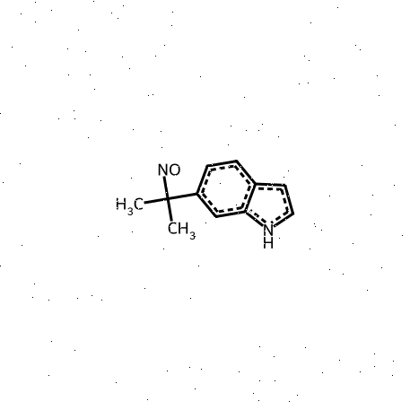 CC(C)(N=O)c1ccc2cc[nH]c2c1